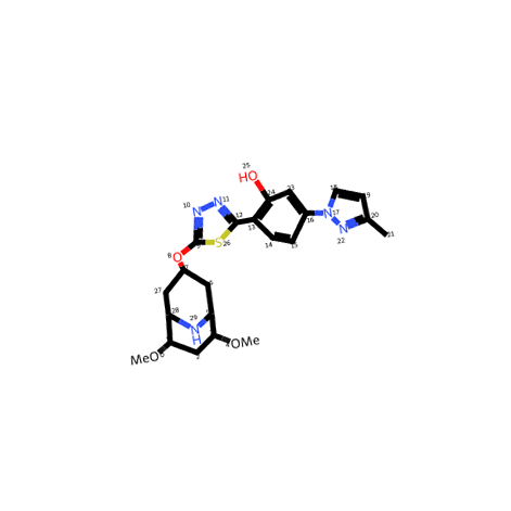 COC1CC(OC)C2CC(Oc3nnc(-c4ccc(-n5ccc(C)n5)cc4O)s3)CC1N2